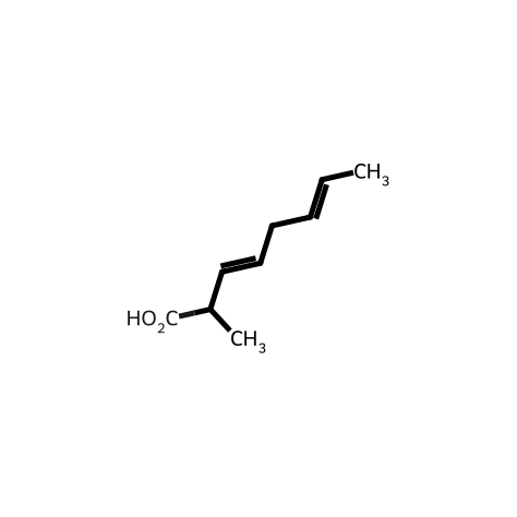 CC=CCC=CC(C)C(=O)O